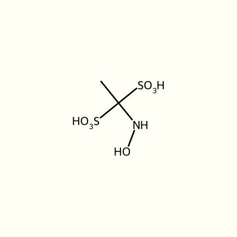 CC(NO)(S(=O)(=O)O)S(=O)(=O)O